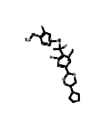 Fc1cc(OC(F)(F)c2c(F)cc(C3OCC(C4CCCC4)CO3)cc2F)ccc1OC(F)(F)F